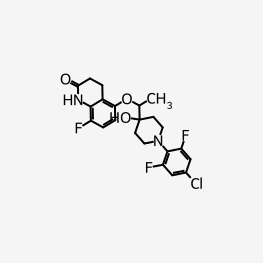 CC(Oc1ccc(F)c2c1CCC(=O)N2)C1(O)CCN(c2c(F)cc(Cl)cc2F)CC1